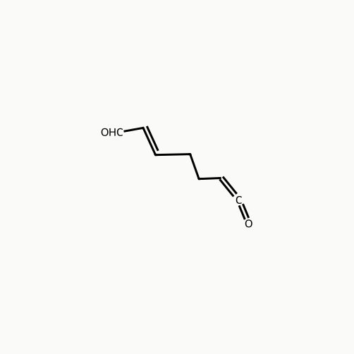 O=C=CCCC=CC=O